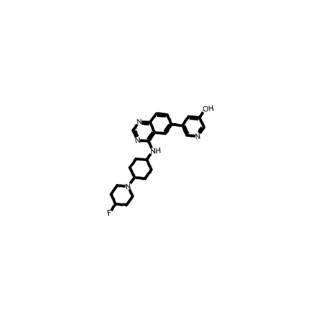 Oc1cncc(-c2ccc3ncnc(NC4CCC(N5CCC(F)CC5)CC4)c3c2)c1